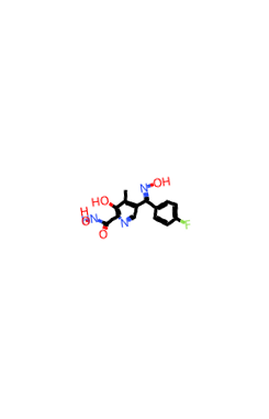 Cc1c(C(=NO)c2ccc(F)cc2)cnc(C(=O)NO)c1O